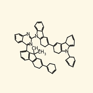 CC1(C)C2=C(CCC(C3=CC=CCC3)=C2)c2cccc(-c3nc(-n4c5c(c6ccccc64)C=C(C4=CC6=C(CC4)N(C4C=CC=CC4)C4=CC=CCC46)CC5)nc4ccccc34)c21